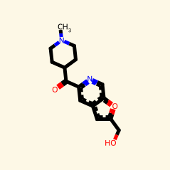 CN1CCC(C(=O)c2cc3cc(CO)oc3cn2)CC1